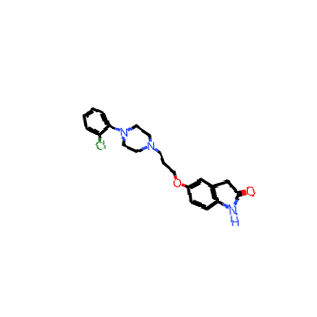 O=C1Cc2cc(OCCCN3CCN(c4ccccc4Cl)CC3)ccc2N1